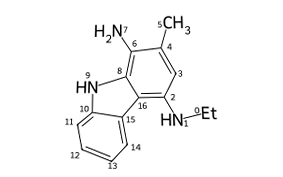 CCNc1cc(C)c(N)c2[nH]c3ccccc3c12